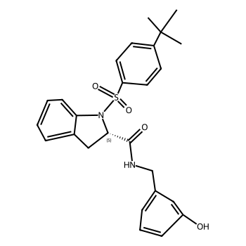 CC(C)(C)c1ccc(S(=O)(=O)N2c3ccccc3C[C@H]2C(=O)NCc2cccc(O)c2)cc1